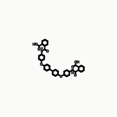 O=C(O)c1ccccc1C(=O)Nc1ccc(Oc2ccc(-c3ccc(Oc4ccc(NC(=O)c5ccccc5C(=O)O)cc4)cc3)cc2)cc1